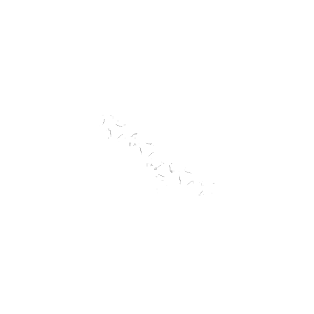 CC1Oc2cc(N3CCCC3=O)ccc2-c2cnc(Nc3cncc(NC(=O)c4ccc5cc[nH]c5c4)c3)cc21